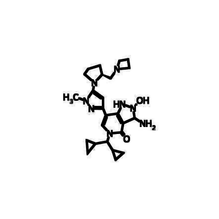 Cn1nc(-c2cn(C(C3CC3)C3CC3)c(=O)c3c2NN(O)C3N)cc1N1CCC[C@H]1CN1CCC1